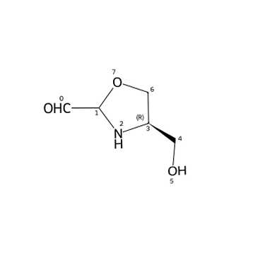 O=CC1N[C@H](CO)CO1